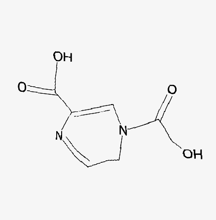 O=C(O)C1=CN(C(=O)O)CC=N1